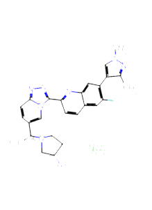 Cc1nn(C)cc1-c1cc2nc(-c3nnc4ccc([C@@H](N5CC[C@H](N)C5)C(F)(F)F)cn34)ccc2cc1F.Cl.Cl